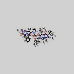 CCC(C)[C@@H]([C@@H](CC(=O)N1CCC[C@H]1[C@H](OC)[C@@H](C)C(=O)N[C@@H](Cc1ccccc1)C(=O)NC)OC)N(C)C(=O)[C@@H](NC(=O)[C@H](C(C)C)N(C)C)C(C)C